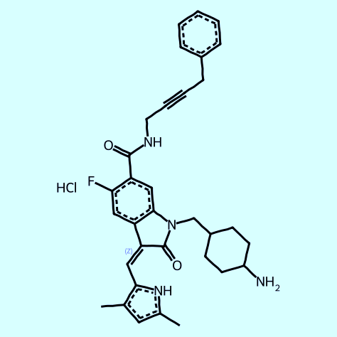 Cc1cc(C)c(/C=C2\C(=O)N(CC3CCC(N)CC3)c3cc(C(=O)NCC#CCc4ccccc4)c(F)cc32)[nH]1.Cl